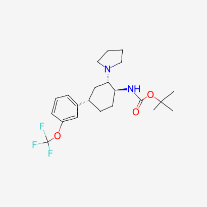 CC(C)(C)OC(=O)N[C@H]1CC[C@H](c2cccc(OC(F)(F)F)c2)C[C@@H]1N1CCCC1